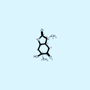 C[C@H]1C(=O)OC2C[C@](C)(O)C(=O)CC21